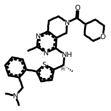 Cc1nc2c(c(N[C@H](C)c3ccc(-c4ccccc4CN(C)C)s3)n1)CN(C(=O)C1CCOCC1)CC2